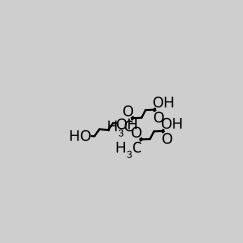 CC(=O)CCC(=O)O.CC(=O)CCC(=O)O.OCCCCO